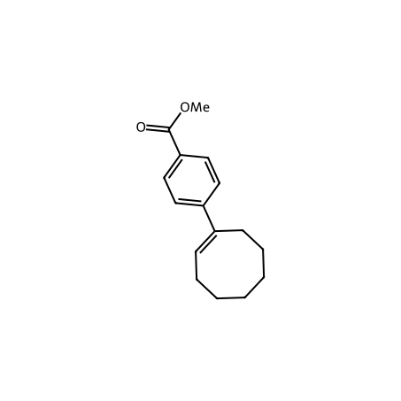 COC(=O)c1ccc(C2=CCCCCCC2)cc1